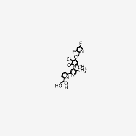 Cc1cnc(-c2cccc([C@@H](O)CO)n2)cc1-n1c(C)cc(OCc2ncc(F)cc2F)c(Cl)c1=O